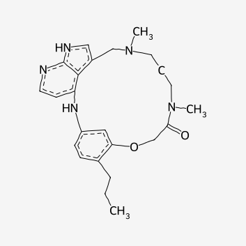 CCCc1ccc2cc1OCC(=O)N(C)CCCN(C)Cc1c[nH]c3nccc(c13)N2